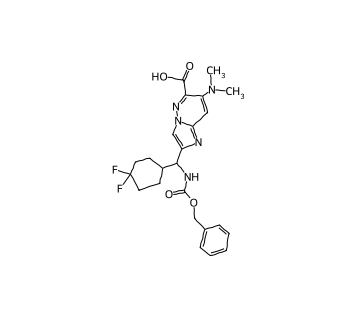 CN(C)c1cc2nc(C(NC(=O)OCc3ccccc3)C3CCC(F)(F)CC3)cn2nc1C(=O)O